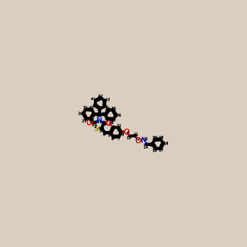 O=C1SC(Cc2ccc(OCCON=Cc3ccccc3)cc2)C(=O)N1C(c1ccccc1)(c1ccccc1)c1ccccc1